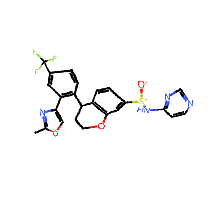 Cc1nc(-c2cc(C(F)(F)F)ccc2C2CCOc3cc([S+]([O-])Nc4ccncn4)ccc32)co1